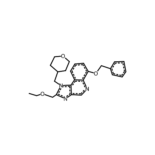 CCOCc1nc2cnc3c(OCc4ccccc4)cccc3c2n1CC1CCOCC1